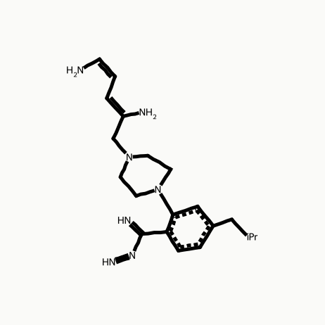 CC(C)Cc1ccc(C(=N)N=N)c(N2CCN(C/C(N)=C/C=C\N)CC2)c1